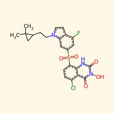 CC1(C)CC1CCn1ccc2c(F)cc(S(=O)(=O)c3ccc(Cl)c4c(=O)n(O)c(=O)[nH]c34)cc21